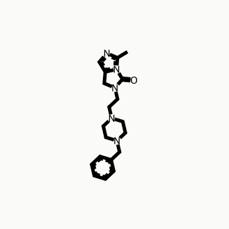 Cc1ncc2n1C(=O)N(CCN1CCN(Cc3ccccc3)CC1)C2